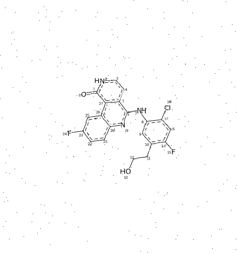 O=c1[nH]ccc2c(Nc3cc(CCO)c(F)cc3Cl)nc3ccc(F)cc3c12